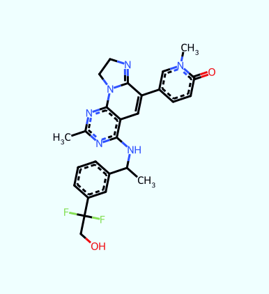 Cc1nc(NC(C)c2cccc(C(F)(F)CO)c2)c2c(n1)N1CCN=C1C(c1ccc(=O)n(C)c1)=C2